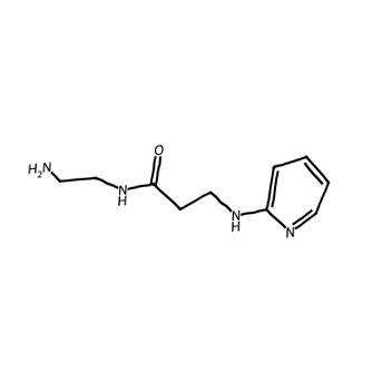 NCCNC(=O)CCNc1ccccn1